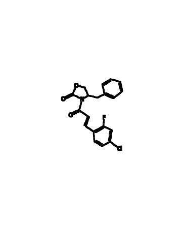 O=C(/C=C/c1ccc(Cl)cc1F)N1C(=O)OCC1Cc1ccccc1